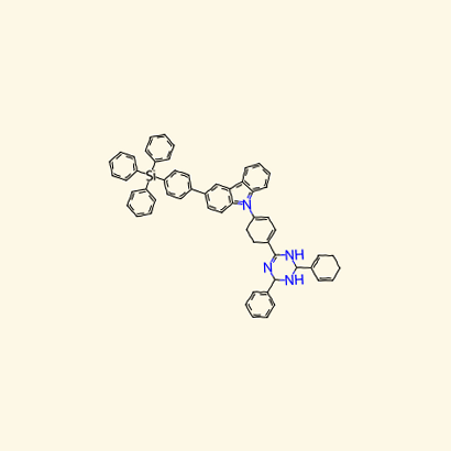 C1=CC(C2NC(C3=CC=C(n4c5ccccc5c5cc(-c6ccc([Si](c7ccccc7)(c7ccccc7)c7ccccc7)cc6)ccc54)CC3)=NC(c3ccccc3)N2)=CCC1